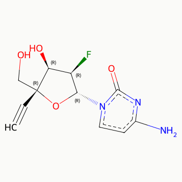 C#C[C@]1(CO)O[C@@H](n2ccc(N)nc2=O)[C@H](F)[C@@H]1O